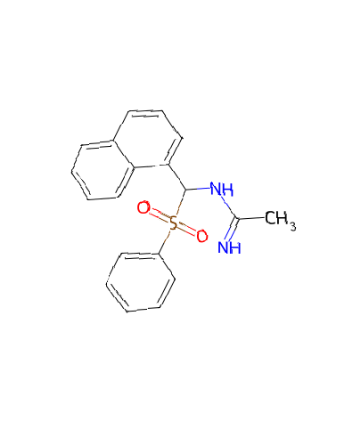 CC(=N)NC(c1cccc2ccccc12)S(=O)(=O)c1ccccc1